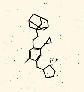 O=C(O)[C@@H]1CCC[C@H]1Cc1cc(C2CC2)c(OCC23CC4CC(CC(C4)C2)C3)cc1F